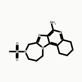 CS(=O)(=O)N1CCCn2c(nc3c(N)nc4c(c32)CCCC4)C1